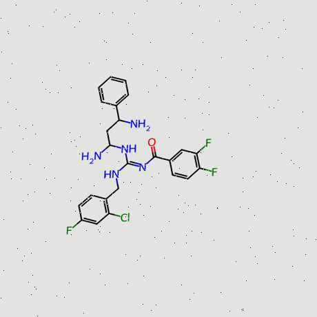 NC(CC(N)c1ccccc1)N/C(=N\C(=O)c1ccc(F)c(F)c1)NCc1ccc(F)cc1Cl